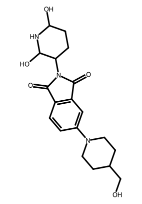 O=C1c2ccc(N3CCC(CO)CC3)cc2C(=O)N1C1CCC(O)NC1O